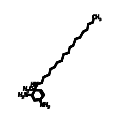 CCCCCCCCCCCCCCCCCCNC1(C)C=CC(N)=CC1N